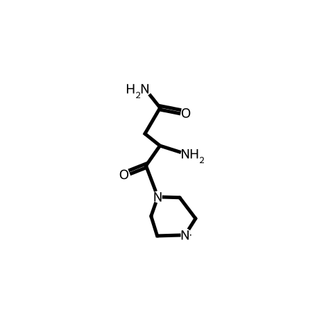 NC(=O)CC(N)C(=O)N1CC[N]CC1